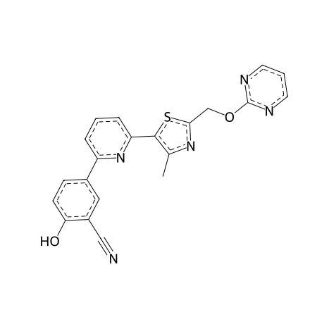 Cc1nc(COc2ncccn2)sc1-c1cccc(-c2ccc(O)c(C#N)c2)n1